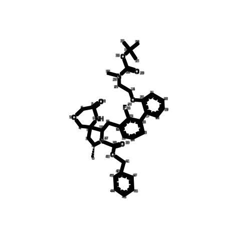 C[C@@H]1CC2(COCC(=O)N2)C(Cc2cccc(-c3ccccc3OCCN(C)C(=O)OC(C)(C)C)c2F)N1C(=O)OCc1ccccc1